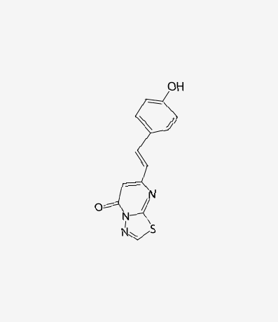 O=c1cc(/C=C/c2ccc(O)cc2)nc2scnn12